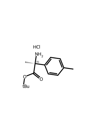 Cc1ccc([C@](C)(N)C(=O)OC(C)(C)C)cc1.Cl